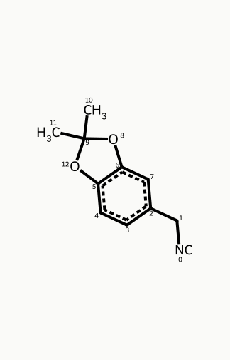 [C-]#[N+]Cc1ccc2c(c1)OC(C)(C)O2